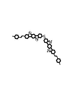 Cc1ccc(/C=C/c2ccc3c4cc5c(cc4n(C)c3c2)c2ccc(Sc3ccc4c6cc7c(cc6n(C)c4c3)c3ccc(/C=C/c4ccc(C)cc4)cc3n7C)cc2n5C)cc1